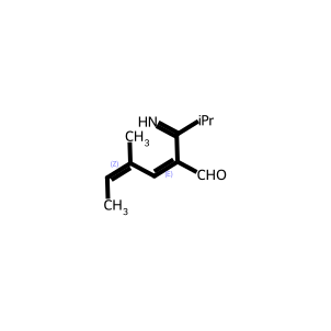 C/C=C(C)\C=C(\C=O)C(=N)C(C)C